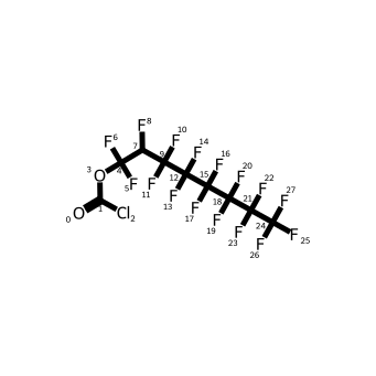 O=C(Cl)OC(F)(F)C(F)C(F)(F)C(F)(F)C(F)(F)C(F)(F)C(F)(F)C(F)(F)F